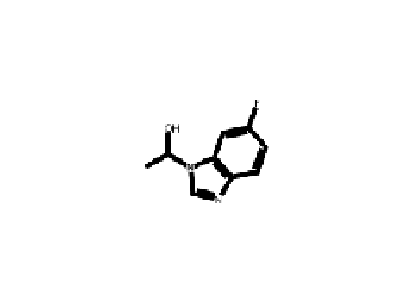 CC(O)n1cnc2ccc(F)cc21